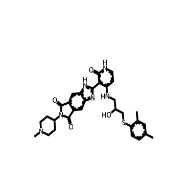 Cc1ccc(SCC(O)CNc2cc[nH]c(=O)c2-c2nc3cc4c(cc3[nH]2)C(=O)N(C2CCN(C)CC2)C4=O)c(C)c1